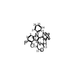 Fc1ccc2c(c1Cl)c(N1CCOCC1)c(-c1nnn[nH]1)n2-c1ccccc1